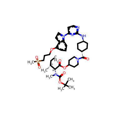 CC[C@@H](C)[C@H](C(=O)OC1CCN(C(=O)[C@H]2CC[C@H](Nc3nccc(-n4ccc5c(OCCCS(C)(=O)=O)cccc54)n3)CC2)CC1)N(C)C(=O)OC(C)(C)C